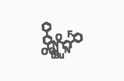 CC(C)(C)OC(=O)c1ccc(-c2ccccc2)cc1NC(=O)c1cncc(-c2ccccc2F)c1